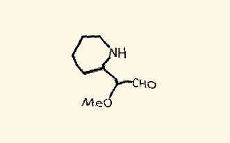 COC(C=O)C1CCCCN1